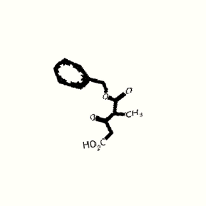 CC(C(=O)CC(=O)O)C(=O)OCc1ccccc1